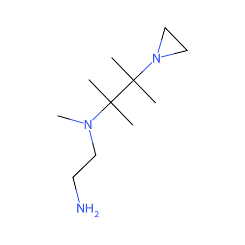 CN(CCN)C(C)(C)C(C)(C)N1CC1